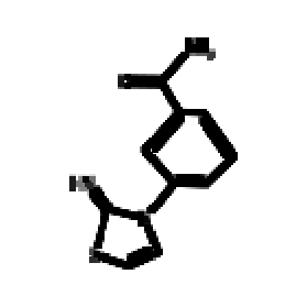 N=c1sccn1-c1cccc(C(N)=O)c1